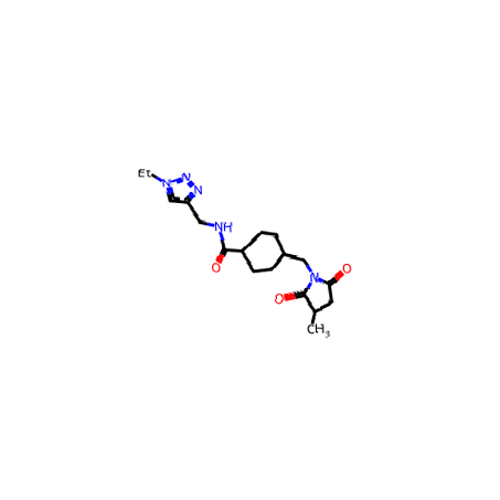 CCn1cc(CNC(=O)C2CCC(CN3C(=O)CC(C)C3=O)CC2)nn1